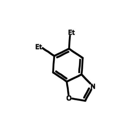 CCc1cc2ncoc2cc1CC